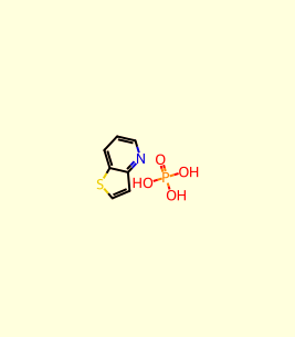 O=P(O)(O)O.c1cnc2ccsc2c1